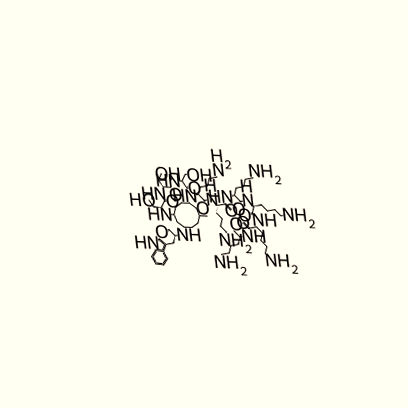 CC1CCC(N[C@H](C=O)Cc2c[nH]c3ccccc23)CC(N[C@@H](CO)C(=O)N[C@@H](CO)C(=O)NC(C=O)CO)CCC(NC(CCCCN)C(=O)N[C@@H](CCCCN)C(=O)NC(CCCCN)C(=O)N[C@@H](CCCCN)C(=O)NC(CCCCN)C(=O)N[C@H](C=O)CCCCN)C1